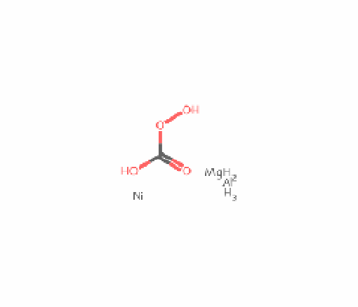 O=C(O)OO.[AlH3].[MgH2].[Ni]